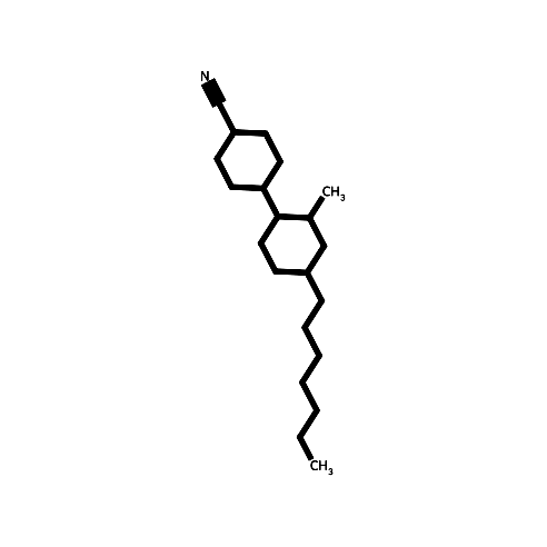 CCCCCCCC1CCC(C2CCC(C#N)CC2)C(C)C1